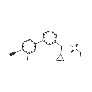 CCS(=O)(=O)N[C@@H](c1cncc(-c2ccc(C#N)c(F)c2)c1)C1CC1